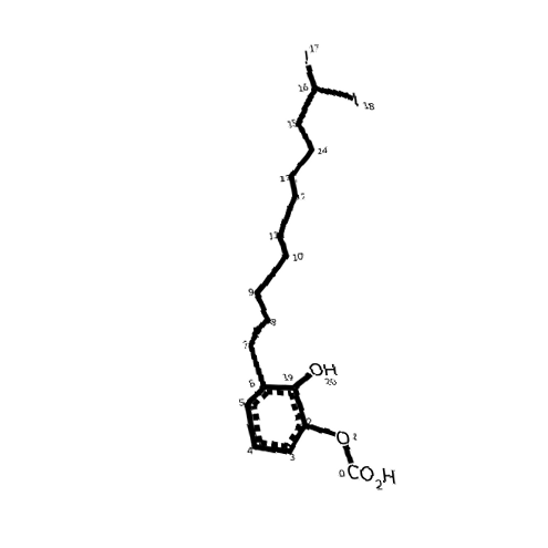 O=C(O)Oc1cccc(CCCCCCCCCC(I)I)c1O